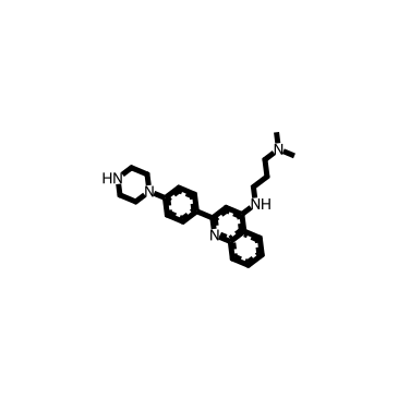 CN(C)CCCNc1cc(-c2ccc(N3CCNCC3)cc2)nc2ccccc12